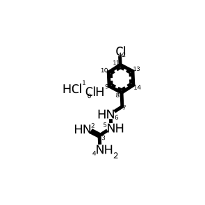 Cl.Cl.N=C(N)NNCc1ccc(Cl)cc1